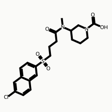 CN(C(=O)CCCS(=O)(=O)c1ccc2cc(Cl)ccc2c1)C1CCCN(C(=O)O)C1